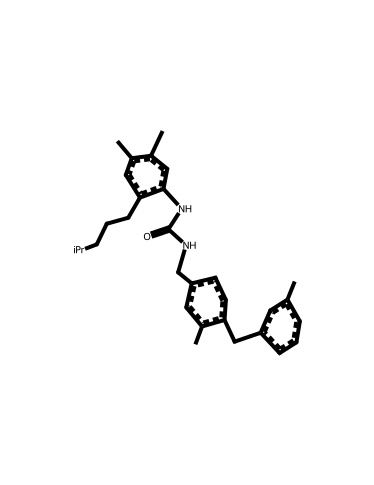 Cc1cccc(Cc2ccc(CNC(=O)Nc3cc(C)c(C)cc3CCCC(C)C)cc2C)c1